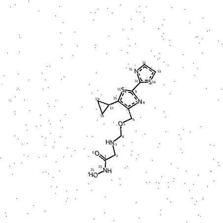 O=C(CNCOCc1nc(-c2nccs2)sc1C1CC1)NO